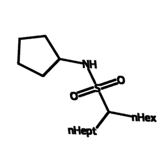 CCCCCCCC(CCCCCC)S(=O)(=O)NC1CCCC1